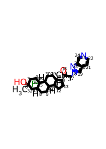 C[C@@]1(O)CC[C@@]2(F)[C@H](CC[C@H]3[C@@H]4CC[C@H](C(=O)Cn5cc6ccncc6n5)[C@@]4(C)CC[C@@H]32)C1